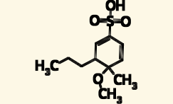 CCCC1C=C(S(=O)(=O)O)C=CC1(C)OC